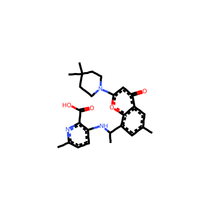 Cc1cc(C(C)Nc2ccc(C)nc2C(=O)O)c2oc(N3CCC(C)(C)CC3)cc(=O)c2c1